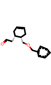 O=CC[C@@H]1CC=CC[C@@H]1COCc1ccccc1